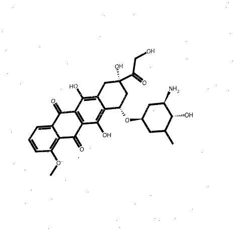 COc1cccc2c1C(=O)c1c(O)c3c(c(O)c1C2=O)C[C@@](O)(C(=O)CO)C[C@@H]3O[C@@H]1CC(C)[C@@H](O)[C@H](N)C1